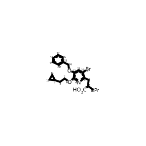 CC(C)C(Cc1nc(OCCC2CC2)c(OCc2ccccc2)cc1Br)C(=O)O